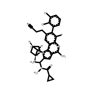 Cc1nc2c(F)c(-c3cccc(Cl)c3Cl)c(CCC#N)cc2c2c1cc(C(C)N(C)C(=O)C1CC1)n2[C@H]1[C@H]2CN[C@@H]1C2